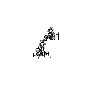 CC(C)N(C(=O)C(C#N)=Cc1cccc(CCC(=O)NC(Cc2ccccc2)B(O)O)c1)C(C)C